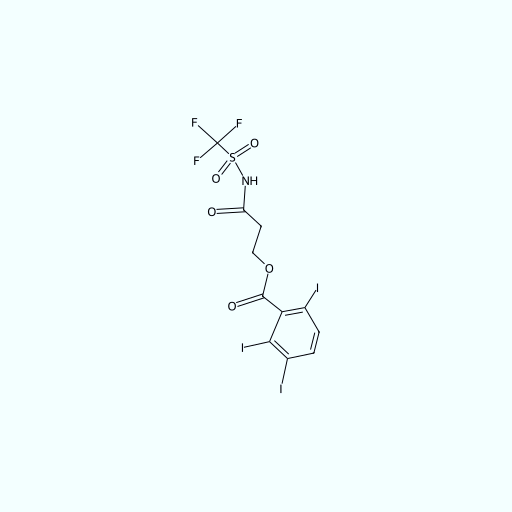 O=C(CCOC(=O)c1c(I)ccc(I)c1I)NS(=O)(=O)C(F)(F)F